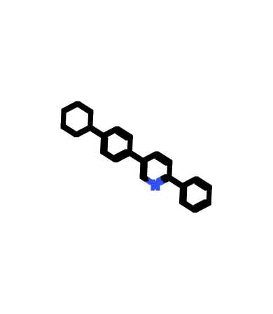 c1ccc(-c2ccc(-c3ccc(C4CCCCC4)cc3)cn2)cc1